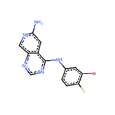 Nc1cc2c(Nc3ccc(F)c(Br)c3)ncnc2cn1